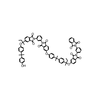 CCC(C)(Oc1ccc2c(c1)C(=O)N(c1cccc(N3C(=O)c4ccccc4C3=O)c1)C2=O)c1ccc(C(C)(C)c2ccc(Oc3ccc4c(c3)C(=O)N(c3cccc(N5C(=O)c6ccc(C(C)(CC)Oc7ccc(C(C)(C)c8ccc(O)cc8)cc7)cc6C5=O)c3)C4=O)cc2)cc1